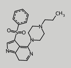 CCCN1CCN(C2=C3C(S(=O)(=O)c4ccccc4)=CN=C3CC=N2)CC1